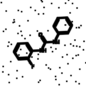 O=C(Nc1ccccc1)Nc1ccccc1F